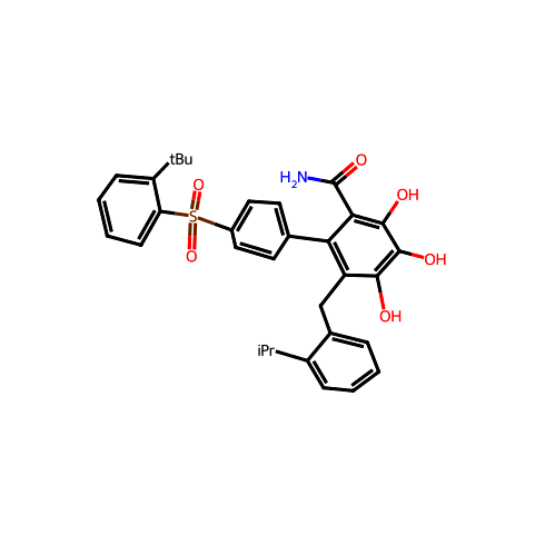 CC(C)c1ccccc1Cc1c(O)c(O)c(O)c(C(N)=O)c1-c1ccc(S(=O)(=O)c2ccccc2C(C)(C)C)cc1